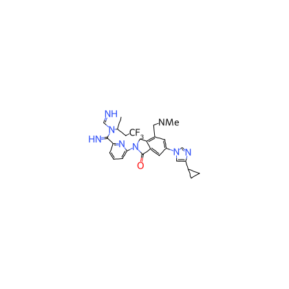 CNCc1cc(-n2cnc(C3CC3)c2)cc2c1CN(c1cccc(C(=N)N(C=N)C(C)CC(F)(F)F)n1)C2=O